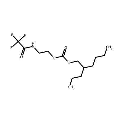 CCCCC(CCC)COC(=O)OCCNC(=O)C(F)(F)F